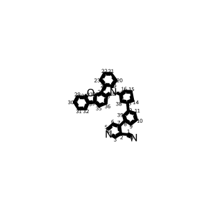 N#Cc1cnccc1-c1cccc(-c2cccc(-n3c4ccccc4c4c5oc6ccccc6c5ccc43)c2)c1